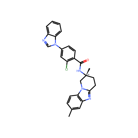 Cc1ccc2c(c1)nc1n2C[C@](C)(NC(=O)c2ccc(-n3cnc4ccccc43)cc2Cl)CC1